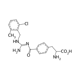 Cc1cccc(Cl)c1CNC(N)=NC(=O)c1ccc(CC(N)C(=O)O)cc1